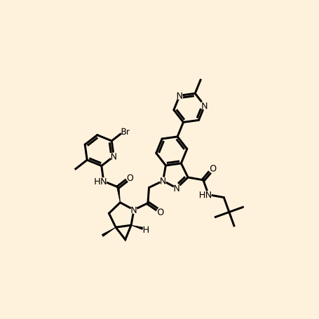 Cc1ncc(-c2ccc3c(c2)c(C(=O)NCC(C)(C)C)nn3CC(=O)N2[C@H](C(=O)Nc3nc(Br)ccc3C)C[C@@]3(C)C[C@@H]23)cn1